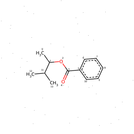 C[C](OC(=O)c1ccccc1)C(C)C